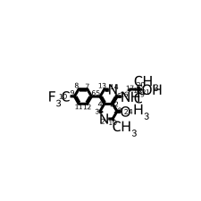 CC1N=Cc2c(-c3ccc(C(F)(F)F)cc3)cnc(NCC(C)(C)O)c2C1=O